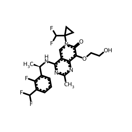 Cc1nc(N[C@H](C)c2cccc(C(F)F)c2F)c2cn(C3(C(F)F)CC3)c(=O)c(OCCO)c2n1